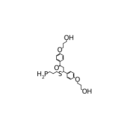 O=C(CC(SCCCP)c1ccc(OCCCO)cc1)c1ccc(OCCCO)cc1